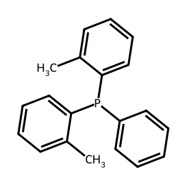 Cc1ccccc1P(c1ccccc1)c1ccccc1C